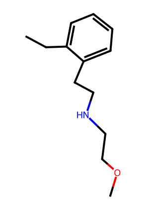 CCc1ccccc1CCNCCOC